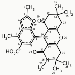 Cc1cc2c(C)c(C(=O)O)cc([C@H]3C4=C(CC(C)(C)CC4=O)OC4=C3C(=O)N(C)C(C)(C)C4)c2o1